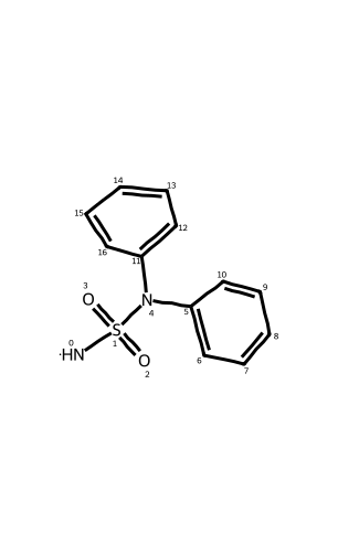 [NH]S(=O)(=O)N(c1ccccc1)c1ccccc1